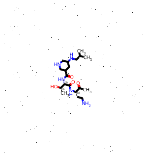 CC(=O)[C@H](CCN)NC(=O)[C@@H](NC(=O)C1CNCC(NCC(C)C)C1)[C@H](C)O